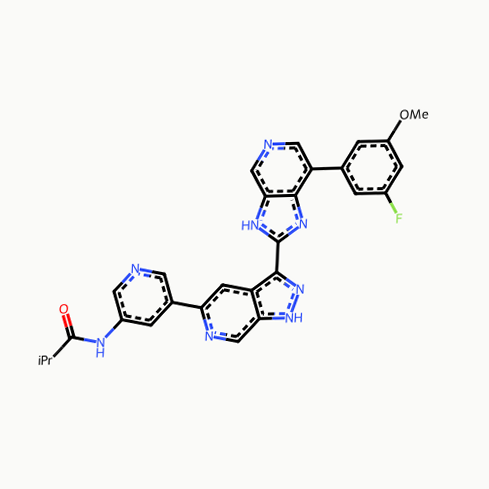 COc1cc(F)cc(-c2cncc3[nH]c(-c4n[nH]c5cnc(-c6cncc(NC(=O)C(C)C)c6)cc45)nc23)c1